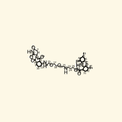 O=C1CCC(N2C(=O)c3cccc(NCCOCCOCCNCCCONC(=O)c4ccc(F)c(F)c4Nc4ccc(I)cc4F)c3C2=O)C(=O)N1